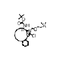 CC(C)(C)OC(=O)N[C@H]1CCCCCCc2ccccc2-c2nc1n(COCC[Si](C)(C)C)c2Cl